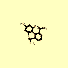 NC(=O)c1cccc(C(N)=O)c1-c1c(F)cc(O)cc1I